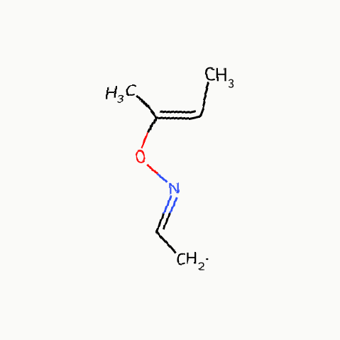 [CH2]C=NOC(C)=CC